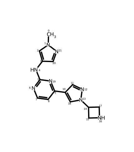 Cn1cc(Nc2nccc(-c3cnn(C4CNC4)c3)n2)cn1